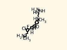 C[C@H](N)CCCc1cc(Cl)c(F)c(-c2cc3cn(-c4ccc([C@@H](C)NCCCNC(=N)N)cc4)c(=O)nc3[nH]2)c1